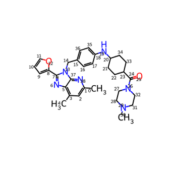 Cc1cc(C)c2nc(-c3ccco3)n(Cc3ccc(NC4CCC(C(=O)N5CCN(C)CC5)CC4)cc3)c2n1